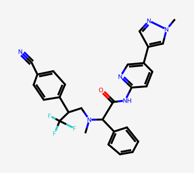 CN(CC(c1ccc(C#N)cc1)C(F)(F)F)C(C(=O)Nc1ccc(-c2cnn(C)c2)cn1)c1ccccc1